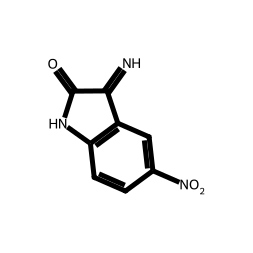 N=C1C(=O)Nc2ccc([N+](=O)[O-])cc21